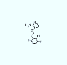 Nc1ncccc1OCCc1c(F)ccc(F)c1Cl